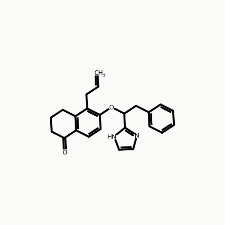 C=CCc1c(OC(Cc2ccccc2)c2ncc[nH]2)ccc2c1CCCC2=O